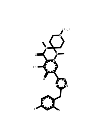 CCOC(=O)N1CCC2(CC1)N(C)C(=O)c1c(O)c(=O)c(-c3nnc(Cc4ccc(F)cc4F)s3)cn1N2C